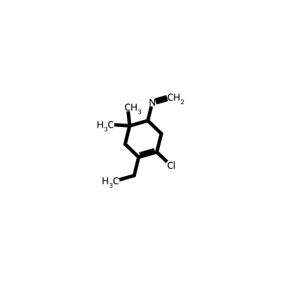 C=NC1CC(Cl)=C(CC)CC1(C)C